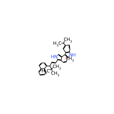 C/C=C\c1c(-c2c[nH]c3ccc(C(C)C)cc23)c[nH]c1/C=C/C(c1cccc2ccccc12)C(C)(C)C